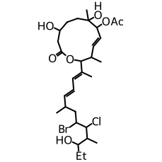 CCC(O)C(C)C(Cl)C(Br)CC(C)/C=C/C=C(\C)C1OC(=O)CC(O)CCC(C)(O)C(OC(C)=O)/C=C/C1C